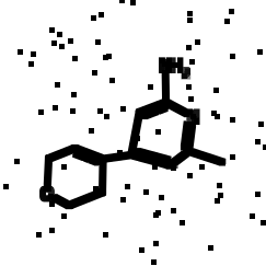 Cc1[c]c(C2=CCOCC2)cc(N)n1